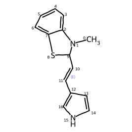 CN1c2ccccc2SC1/C=C/c1cc[nH]c1